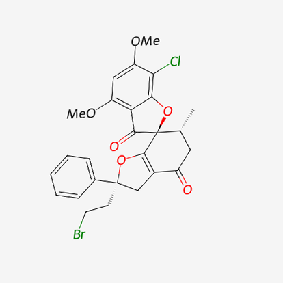 COc1cc(OC)c2c(c1Cl)O[C@]1(C2=O)C2=C(C[C@@](CCBr)(c3ccccc3)O2)C(=O)C[C@H]1C